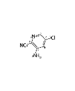 N#Cc1ncc(Cl)cc1N